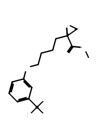 COC(=O)C1(CCCCOc2cccc(C(F)(F)F)c2)CO1